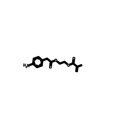 C=C(C)C(=O)OCCOC(=O)Cc1ccc(N)cc1